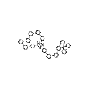 c1ccc(-c2cccc(-c3ccc(-c4nc(-c5ccc(-c6cccc(-c7cccc(-c8ccc9c(c8)C8(c%10ccccc%10-c%10ccccc%108)c8ccccc8-9)c7)c6)cc5)nc(-c5cccc(-c6cccc(-c7cccc(-c8ccccc8)c7)c6)c5)n4)cc3)c2)cc1